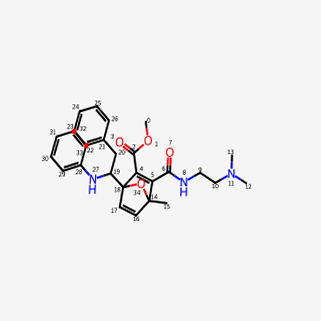 COC(=O)C1=C(C(=O)NCCN(C)C)C2(C)C=CC1(C(Cc1ccccc1)Nc1ccccc1)O2